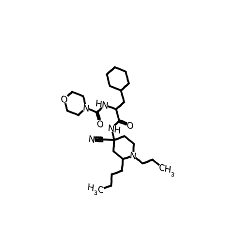 CCCCC1CC(C#N)(NC(=O)C(CC2CCCCC2)NC(=O)N2CCOCC2)CCN1CCC